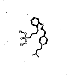 CCOP(=O)(CCC[n+]1c(C=C2C=CN(CCN(C)C)C=C2)sc2ccccc21)OCC